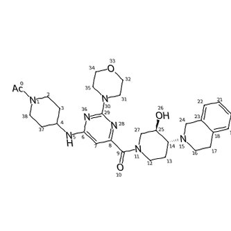 CC(=O)N1CCC(Nc2cc(C(=O)N3CC[C@@H](N4CCc5ccccc5C4)[C@H](O)C3)nc(N3CCOCC3)n2)CC1